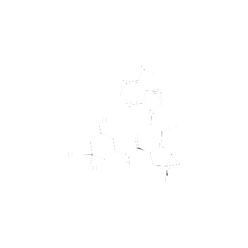 CC1(C)CC(O)CC(NC(=O)[C@@H]2C[C@H]3CC3N2C(=O)Cn2cnc3c(N)ncnc32)C1